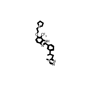 CC(Cc1nncn1C)c1cccc(-c2nc3ccc(OCCN4CCCC4)c(C(F)(F)F)c3[nH]2)c1